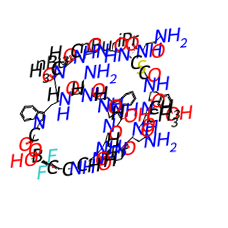 CCCC[C@H]1C(=O)N(C)[C@@H](CCCC)C(=O)N[C@@H](CC(C)C)C(=O)N[C@H](C(=O)NCC(N)=O)CSCC(=O)N[C@@H](Cc2ccc(O)cc2)C(=O)N(C)[C@@H](C)C(=O)N[C@@H](CC(N)=O)C(=O)N2CCC[C@H]2C(=O)N[C@H]2CNCc3cc(F)c(c(F)c3)B(O)OC(=O)Cn3cc(c4ccccc43)C[C@H](NC(=O)[C@H](CCN)NC(=O)[C@H](Cc3c[nH]c4ccccc34)NC(=O)[C@@H]3C[C@@H](O)CN3C(=O)[C@H](CC(C)C)NC2=O)C(=O)N1C